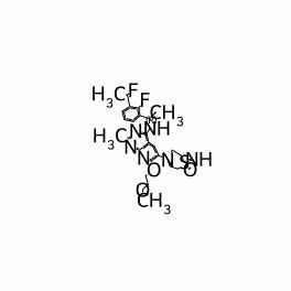 COCCOc1nc2nc(C)nc(N[C@H](C)c3cccc(C(C)F)c3F)c2cc1N1CCS(=N)(=O)CC1